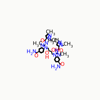 CCn1nc(C)cc1C(=O)/N=c1\n(C)c2cc(C(N)=O)ccc2n1CC(O)C(O)Cn1/c(=N/C(=O)c2cc(C)nn2CC)n(C)c2cc(C(N)=O)ccc21